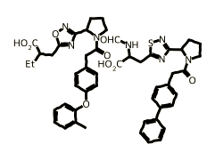 CCC(Cc1nc(C2CCCN2C(=O)Cc2ccc(Oc3ccccc3C)cc2)no1)C(=O)O.O=CNC(Cc1nc(C2CCCN2C(=O)Cc2ccc(-c3ccccc3)cc2)ns1)C(=O)O